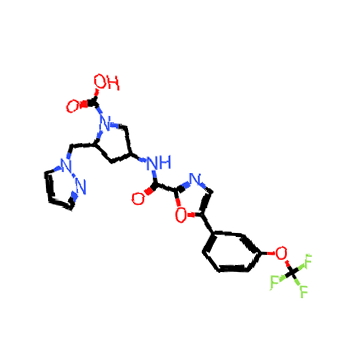 O=C(NC1CC(Cn2cccn2)N(C(=O)O)C1)c1ncc(-c2cccc(OC(F)(F)F)c2)o1